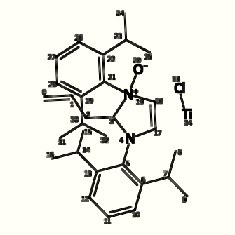 C=CCC1N(c2c(C(C)C)cccc2C(C)C)C=C[N+]1([O-])c1c(C(C)C)cccc1C(C)C.[Cl][Ti]